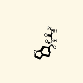 CC(C)NC(=O)NS(=O)(=O)c1ccc2ccoc2c1